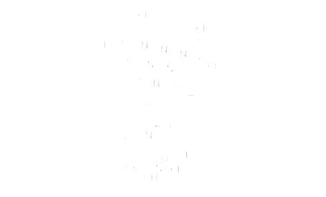 COCN(COC)c1nc(N(COC)COC)nc(N(COC)C(OC=O)c2ccc3c(c2)C(=O)N(C2CC(C)(C)NC(C)(C)C2)C3=O)n1